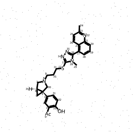 CC(=O)c1cc([C@@]23C[C@H]2CN(CCCSc2nnc(-c4cccc5nc(C)ccc45)n2C)C3)ccc1O